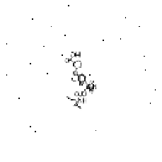 CCCC1(NC(=O)OCc2c(-c3ccc(O[C@H]4CCC[C@H](C(=O)O)C4)c(CC)n3)nnn2C)CC1C